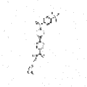 CCSCCNC(=O)c1ccc(N2CCN(C(=O)c3ccc(C(F)(F)F)cc3)CC2)nc1